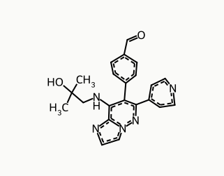 CC(C)(O)CNc1c(-c2ccc(C=O)cc2)c(-c2ccncc2)nn2ccnc12